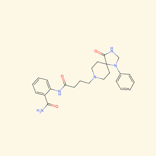 NC(=O)c1ccccc1NC(=O)CCCN1CCC2(CC1)C(=O)NCN2c1ccccc1